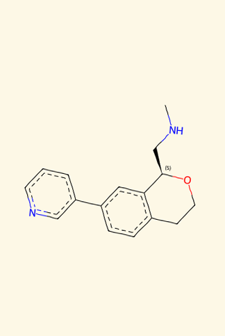 CNC[C@H]1OCCc2ccc(-c3cccnc3)cc21